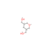 OCC1COCC(CO)C1